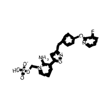 Nc1c(-c2cc(Cc3ccc(Oc4ncccc4F)cc3)no2)ccc[n+]1COP(=O)([O-])O